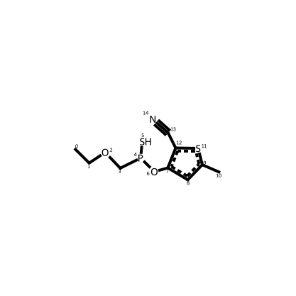 CCOCP(S)Oc1cc(C)sc1C#N